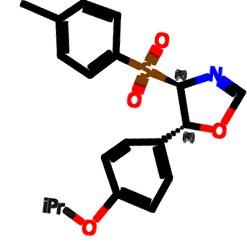 Cc1ccc(S(=O)(=O)[C@H]2N=CO[C@@H]2c2ccc(OC(C)C)cc2)cc1